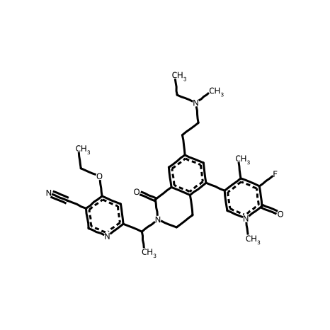 CCOc1cc(C(C)N2CCc3c(cc(CCN(C)CC)cc3-c3cn(C)c(=O)c(F)c3C)C2=O)ncc1C#N